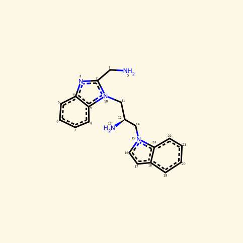 NCc1nc2ccccc2n1C[C@H](N)Cn1ccc2ccccc21